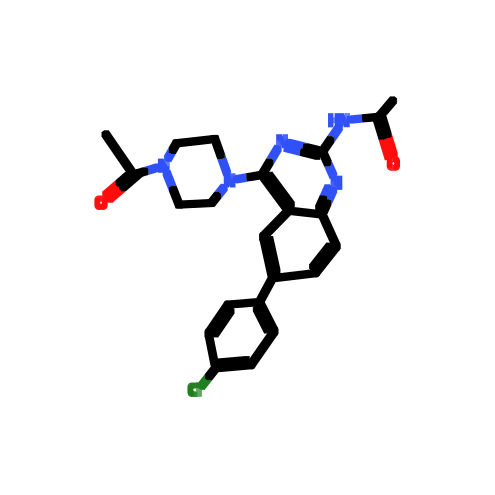 CC(=O)Nc1nc(N2CCN(C(C)=O)CC2)c2cc(-c3ccc(Cl)cc3)ccc2n1